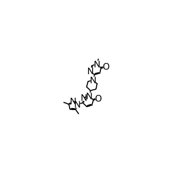 Cc1cc(C)n(-c2ccc(=O)n(C3CCN(c4cc(=O)n(C)cn4)CC3)n2)n1